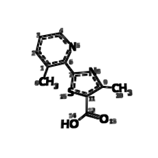 Cc1cccnc1-c1nc(C)c(C(=O)O)s1